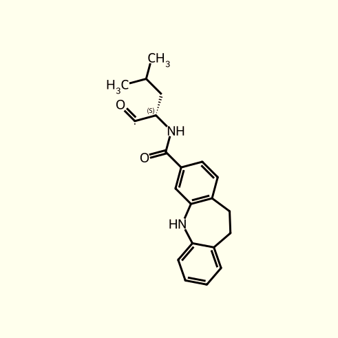 CC(C)C[C@@H]([C]=O)NC(=O)c1ccc2c(c1)Nc1ccccc1CC2